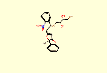 CC1(c2ccccc2)OC(CC(SC[C@@H](O)[C@H](O)CS)c2ccccc2[N+](=O)[O-])=CC1=O